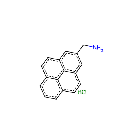 Cl.NCc1cc2ccc3cccc4ccc(c1)c2c34